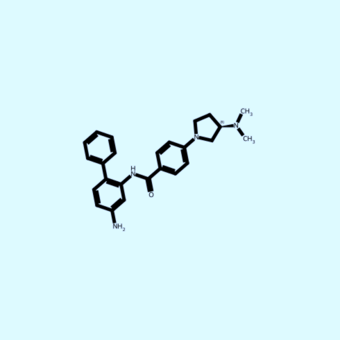 CN(C)[C@@H]1CCN(c2ccc(C(=O)Nc3cc(N)ccc3-c3ccccc3)cc2)C1